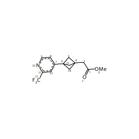 COC(=O)CC12CC(c3ccnc(C(F)(F)F)c3)(C1)C2